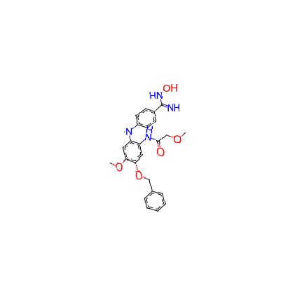 COCC(=O)Nc1cc(OCc2ccccc2)c(OC)cc1[N]c1ccc(C(=N)NO)cc1